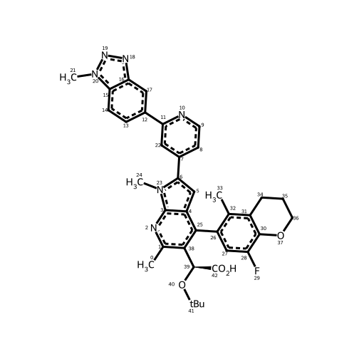 Cc1nc2c(cc(-c3ccnc(-c4ccc5c(c4)nnn5C)c3)n2C)c(-c2cc(F)c3c(c2C)CCCO3)c1[C@H](OC(C)(C)C)C(=O)O